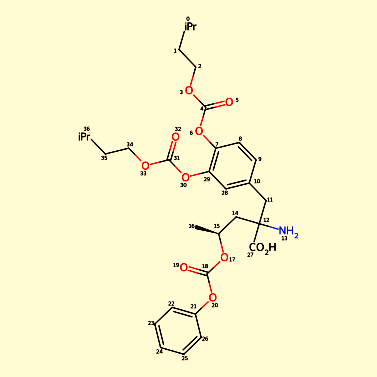 CC(C)CCOC(=O)Oc1ccc(CC(N)(C[C@H](C)OC(=O)Oc2ccccc2)C(=O)O)cc1OC(=O)OCCC(C)C